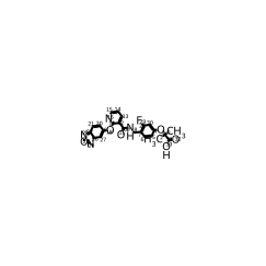 CC(C)(Oc1ccc(CNC(=O)c2cccnc2Oc2ccc3nonc3c2)c(F)c1)C(=O)O